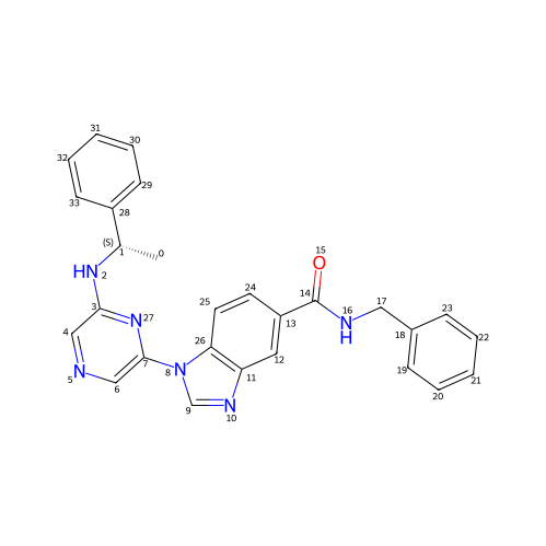 C[C@H](Nc1cncc(-n2cnc3cc(C(=O)NCc4ccccc4)ccc32)n1)c1ccccc1